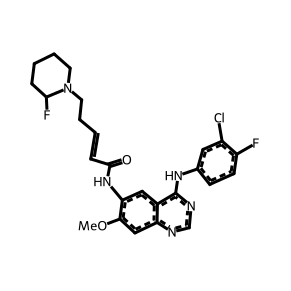 COc1cc2ncnc(Nc3ccc(F)c(Cl)c3)c2cc1NC(=O)C=CCCN1CCCCC1F